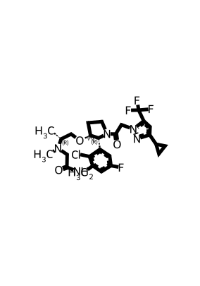 Cc1cc(F)cc([C@@H]2[C@H](OC[C@@H](C)N(C)CC(N)=O)CCN2C(=O)Cn2nc(C3CC3)cc2C(F)(F)F)c1Cl